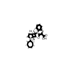 C[C@]1(n2c(=O)c(C(=O)O)nc3ccccc32)C[C@@H]2C1CCN2C1CCCCCC1